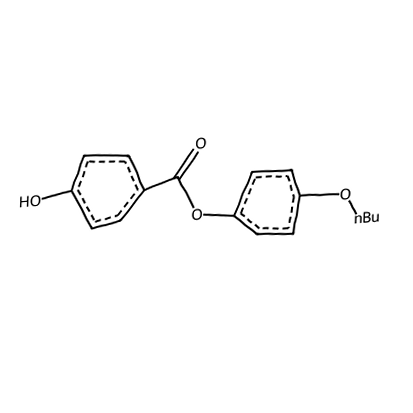 CCCCOc1ccc(OC(=O)c2ccc(O)cc2)cc1